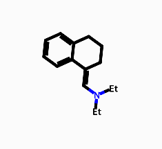 CCN(/C=C1\CCCc2ccccc21)CC